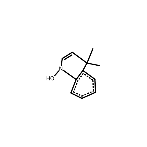 CC1(C)C=CN(O)c2ccccc21